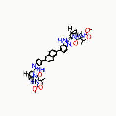 COC(=O)N[C@H](C(=O)N1[C@@H]2C[C@@H]2C[C@H]1c1nc2ccc(-c3ccc4cc(-c5ccc6nc([C@@H]7C[C@H]8C[C@H]8N7C(=O)[C@@H](NC(=O)OC)C(C)C)[nH]c6c5)ccc4c3)cc2[nH]1)C(C)C